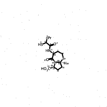 CCCC(S)C(=O)N[C@H]1CCS[C@H]2CC[C@@H](C(=O)O)N2C1=O